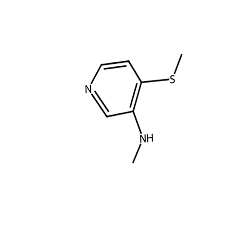 CNc1cnccc1SC